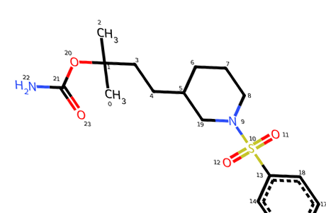 CC(C)(CCC1CCCN(S(=O)(=O)c2ccccc2)C1)OC(N)=O